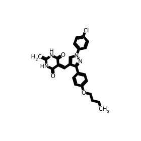 C=c1[nH]c(=O)c(=Cc2cn(-c3ccc(Cl)cc3)nc2-c2ccc(OCCCC)cc2)c(=O)[nH]1